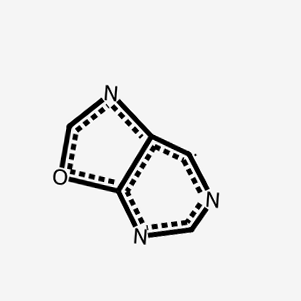 [c]1ncnc2ocnc12